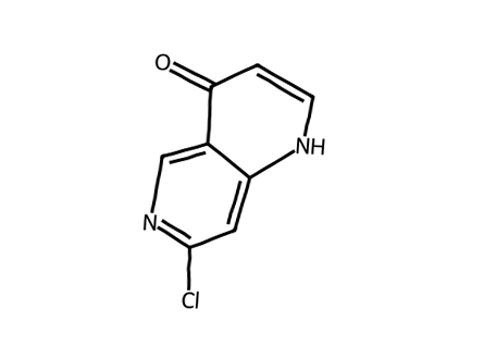 O=c1cc[nH]c2cc(Cl)ncc12